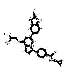 CC(C)CNc1cc(-c2ccc3[nH]c(=O)[nH]c3c2)nn2c(-c3ccc(C(=O)NC4CC4)cc3)cnc12